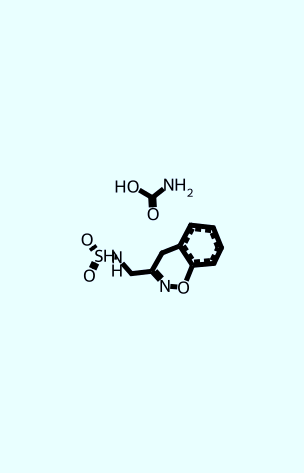 NC(=O)O.O=[SH](=O)NCC1=NOc2ccccc2C1